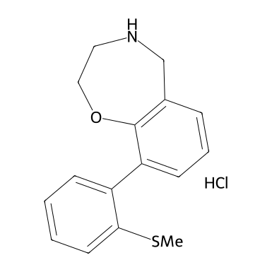 CSc1ccccc1-c1cccc2c1OCCNC2.Cl